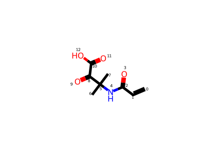 C=CC(=O)NC(C)(C)C(=O)C(=O)O